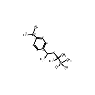 CC(CC(C)(C)[Si](C)(C)O)c1ccc(B(O)O)cc1